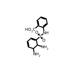 NC1C=CC=C(S(=O)(=O)Nc2ccccc2C(=O)O)C1N